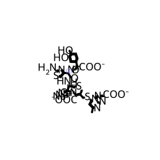 Cc1cc(SCC2=C(C(=O)[O-])N3C(=O)[C@@H](NC(=O)/C(=N\O[C@H](C(=O)[O-])c4ccc(O)c(O)c4)c4csc(N)n4)[C@H]3SC2)n2nc(C(=O)[O-])nc2n1.[Na+].[Na+].[Na+]